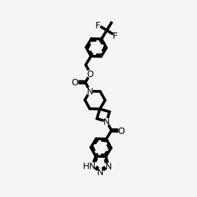 CC(F)(F)c1ccc(COC(=O)N2CCC3(CC2)CN(C(=O)c2ccc4[nH]nnc4c2)C3)cc1